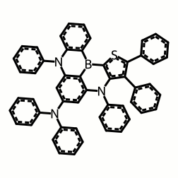 c1ccc(-c2sc3c(c2-c2ccccc2)N(c2ccccc2)c2cc(N(c4ccccc4)c4ccccc4)cc4c2B3c2ccccc2N4c2ccccc2)cc1